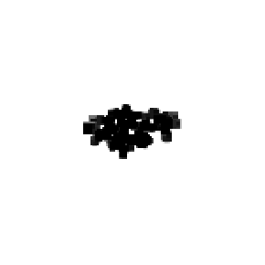 CCC1(CC)C2=C(c3cc(C)c(C)c(C)c3N1C(=O)Cn1c(=O)[nH][nH]c1=O)C1(SC(C(=O)O)=C(C(=O)O)S1)C(C)=C(C)S2